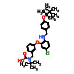 CC(C)(C)N(Cc1cccc(Oc2cc(Cl)ccc2NCc2ccc(O[Si](C)(C)C(C)(C)C)cc2)c1)C(=O)O